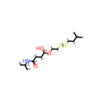 CC(C)CCSSCCOC(O)CCC(=O)NC(C)C